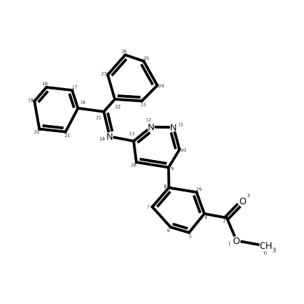 COC(=O)c1cccc(-c2cnnc(N=C(c3ccccc3)c3ccccc3)c2)c1